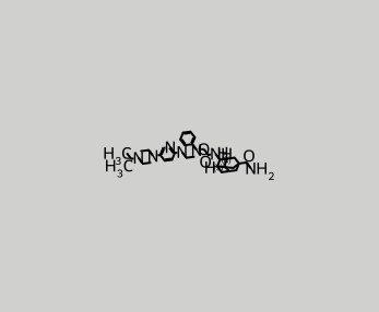 CC(C)N1CCN(c2ccc(N3CCN(OC(=O)NC4[C@@H]5CC6C[C@H]4CC(C(N)=O)(C6)C5)c4ccccc43)nc2)CC1